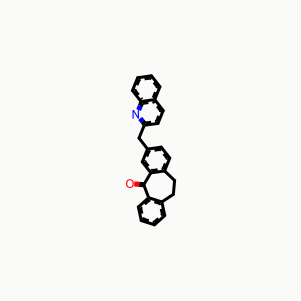 O=C1c2ccccc2CCc2ccc(Cc3ccc4ccccc4n3)cc21